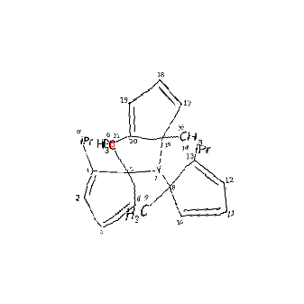 CC(C)C1=CC=C[C]1(C)[Y]([C]1(C)C=CC=C1C(C)C)[C]1(C)C=CC=C1C(C)C